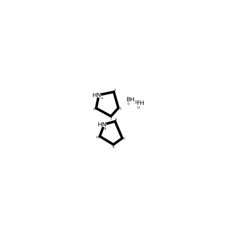 B.C1CCNC1.C1CCNC1.F